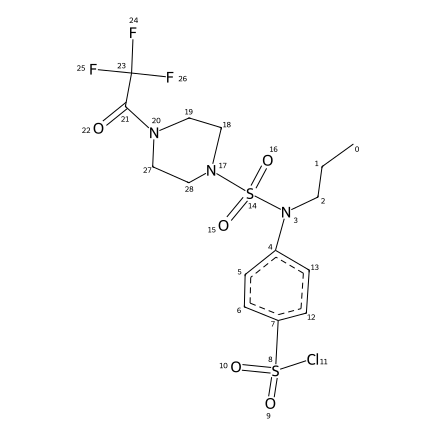 CCCN(c1ccc(S(=O)(=O)Cl)cc1)S(=O)(=O)N1CCN(C(=O)C(F)(F)F)CC1